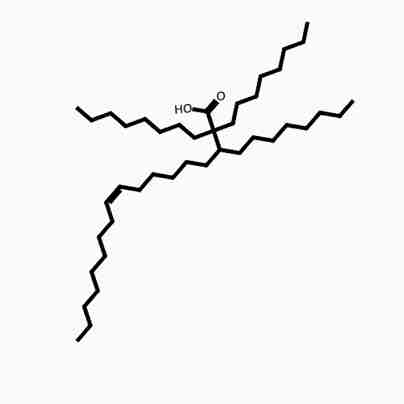 CCCCCCCC/C=C\CCCCCC(CCCCCCCC)C(CCCCCCCC)(CCCCCCCC)C(=O)O